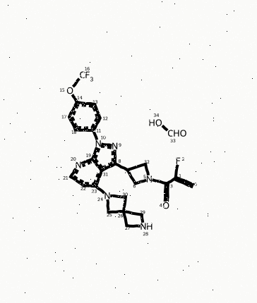 C=C(F)C(=O)N1CC(c2nn(-c3ccc(OC(F)(F)F)cc3)c3nccc(N4CC5(CNC5)C4)c23)C1.O=CO